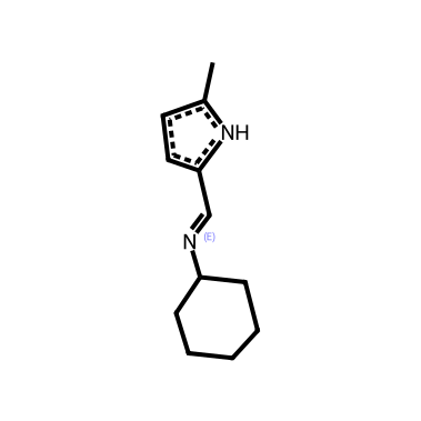 Cc1ccc(/C=N/C2CCCCC2)[nH]1